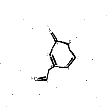 O=[C]C1=CC(=S)CC=C1